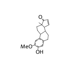 COc1cc2c(cc1O)CCC1C2CCC2(C)C(=O)C=CC12